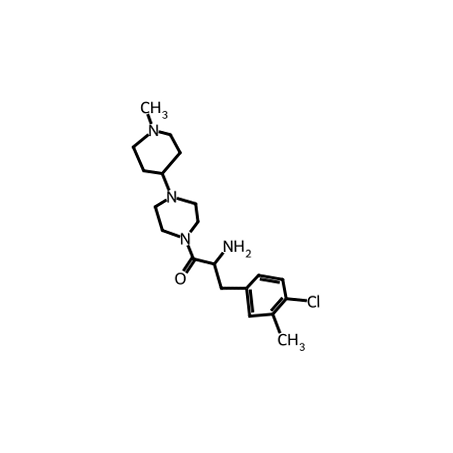 Cc1cc(CC(N)C(=O)N2CCN(C3CCN(C)CC3)CC2)ccc1Cl